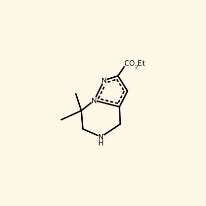 CCOC(=O)c1cc2n(n1)C(C)(C)CNC2